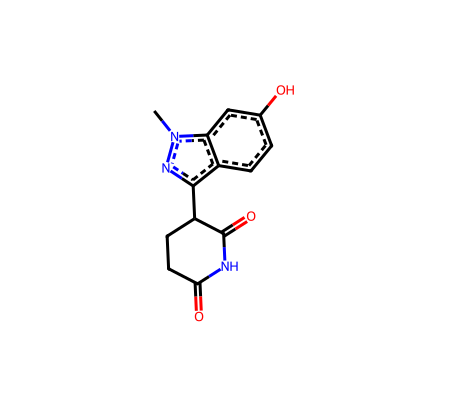 Cn1nc(C2CCC(=O)NC2=O)c2ccc(O)cc21